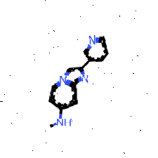 CNc1ccn2cc(-c3cccnc3)nc2c1